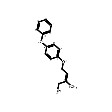 CC(=CCOc1ccc(Oc2ccccc2)cc1)CC(C)C